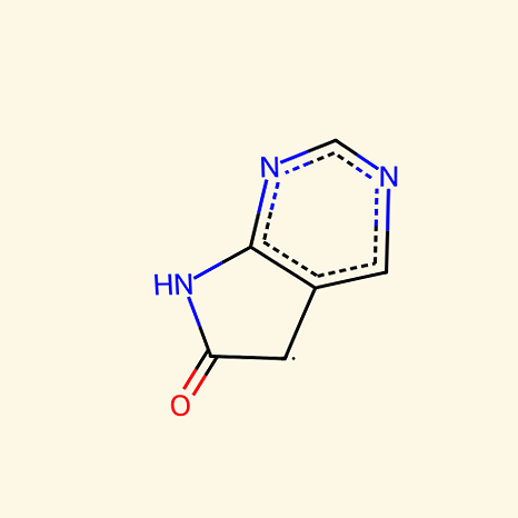 O=C1[CH]c2cncnc2N1